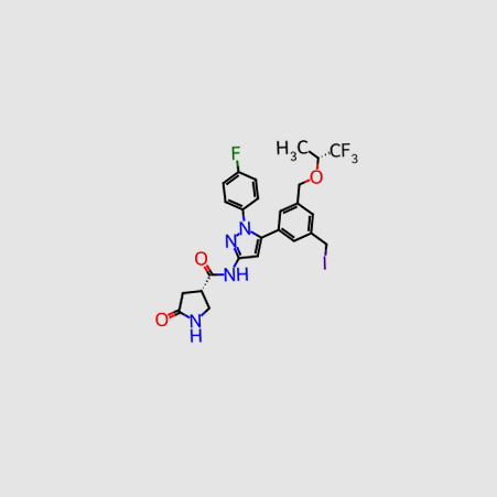 C[C@@H](OCc1cc(CI)cc(-c2cc(NC(=O)[C@@H]3CNC(=O)C3)nn2-c2ccc(F)cc2)c1)C(F)(F)F